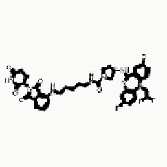 O=C1CCC(N2C(=O)c3cccc(NCCCCCNC(=O)N4CC[C@H](NC5=Nc6cc(F)ccc6N(CC(F)F)c6ccc(Cl)cc65)C4)c3C2=O)C(=O)N1